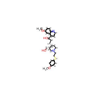 COc1ccc(SCCN2CC[C@@H](CC[C@@H](O)c3ccnc4ccc(OC)cc34)[C@@H](CO)C2)cc1